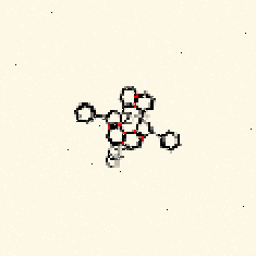 C1=C(c2ccccc2)C=C(c2ccccc2)[C]1([Zr+2][C]1(c2ccccc2)C=C(c2ccccc2)C=C1c1ccccc1)c1ccccc1.[Cl-].[Cl-]